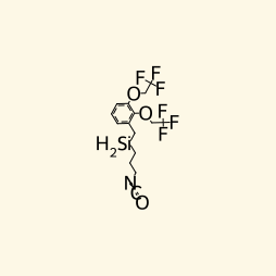 O=C=NCCC[SiH2]Cc1cccc(OCC(F)(F)F)c1OCC(F)(F)F